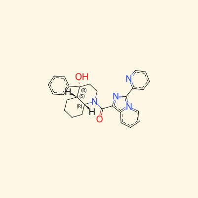 O=C(c1nc(-c2ccccn2)n2ccccc12)N1CC[C@](O)(c2ccccc2)[C@H]2CCCC[C@H]21